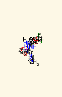 CN1CCN(c2ccc(C(=O)Nc3n[nH]c4c3CN(S(=O)(=O)c3cc(F)cc(F)c3)C4(C)C)c(NC(=O)[C@@H]3CCCO3)c2)CC1